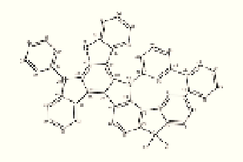 CC1(C)c2ccccc2-c2c1ccc1c3c4c5ccccc5n(-c5ccccc5)c4c4oc5ccccc5c4c3n(-c3cccc(-c4ccccc4)c3)c21